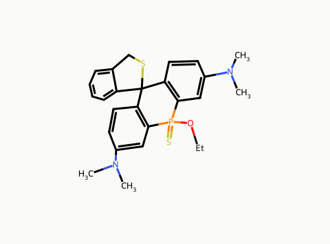 CCOP1(=S)c2cc(N(C)C)ccc2C2(SCc3ccccc32)c2ccc(N(C)C)cc21